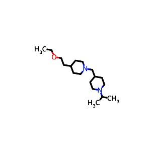 CCOCCC1CCN(CC2CCN(C(C)C)CC2)CC1